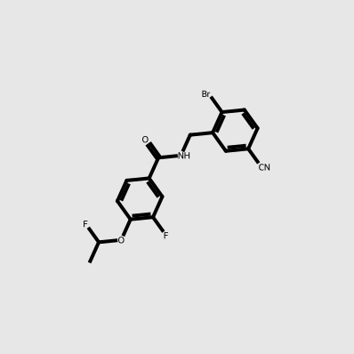 CC(F)Oc1ccc(C(=O)NCc2cc(C#N)ccc2Br)cc1F